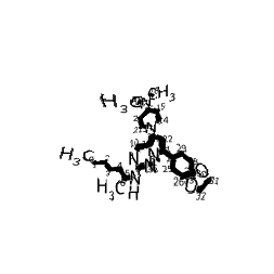 CCCCCC(C)Nc1ncc2c(N3CCC(N(C)C)CC3)cc(C3CCC4(CC3)OCCO4)n2n1